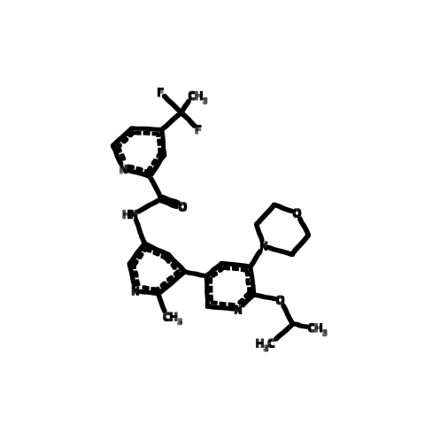 Cc1ncc(NC(=O)c2cc(C(C)(F)F)ccn2)cc1-c1cnc(OC(C)C)c(N2CCOCC2)c1